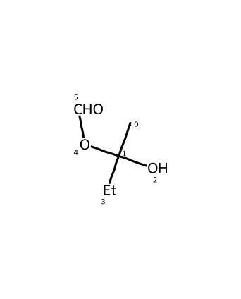 [CH2]C(O)(CC)OC=O